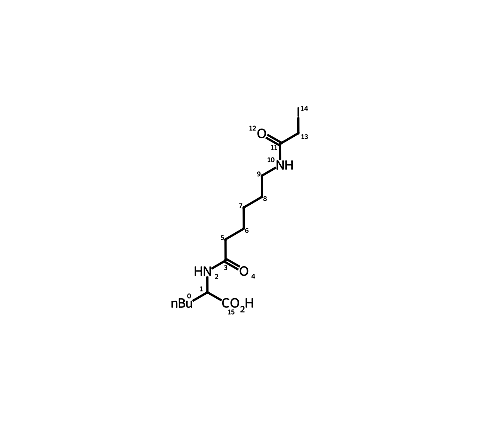 CCCCC(NC(=O)CCCCCNC(=O)CI)C(=O)O